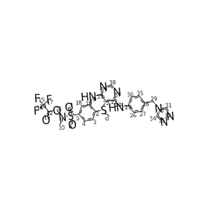 CSc1ccc(S(=O)(=O)N(C)OC(=O)C(F)(F)F)cc1Nc1cc(Nc2ccc(Cn3cnnc3)cc2)ncn1